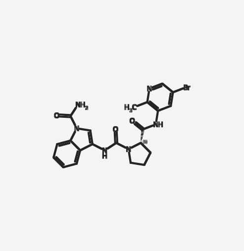 Cc1ncc(Br)cc1NC(=O)[C@@H]1CCCN1C(=O)Nc1cn(C(N)=O)c2ccccc12